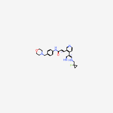 N=C/C(=C\NCC1(F)CC1)c1ccncc1/C=C/C(=O)Nc1ccc(CN2CCOCC2)cc1